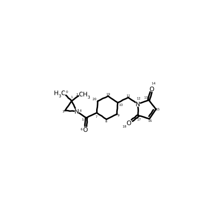 CC1(C)CN1C(=O)C1CCC(CN2C(=O)C=CC2=O)CC1